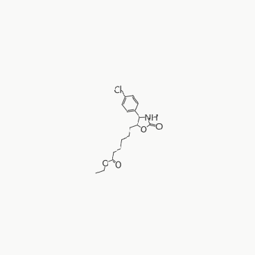 CCOC(=O)CCCCCC1OC(=O)NC1c1ccc(Cl)cc1